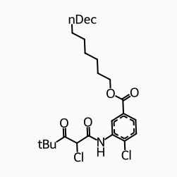 CCCCCCCCCCCCCCCCOC(=O)c1ccc(Cl)c(NC(=O)C(Cl)C(=O)C(C)(C)C)c1